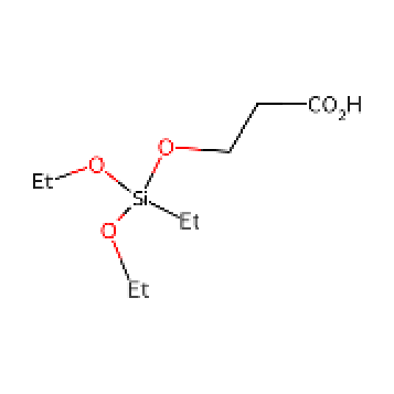 CCO[Si](CC)(OCC)OCCC(=O)O